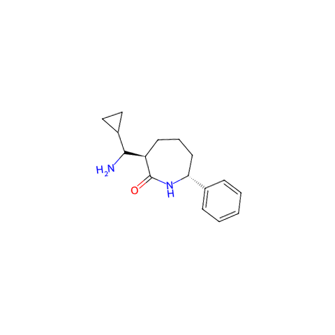 NC(C1CC1)[C@H]1CCC[C@H](c2ccccc2)NC1=O